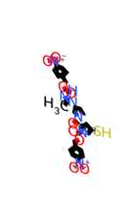 CC(=NC(=O)OCc1ccc([N+](=O)[O-])cc1)N[C@@H]1CCN(C(=O)[C@@H]2C[C@H](S)CN2C(=O)OCc2ccc([N+](=O)[O-])cc2)C1